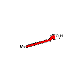 COCCOCCOCCOCCOCCOCCOCCOCCOCCOCCOCCOCCC(=O)N1CCN(c2cc3c(cc2F)c(=O)c(C(=O)O)cn3C2CC2)CC1